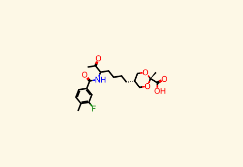 CC(=O)C(CCCC[C@H]1CO[C@@](C)(C(=O)O)OC1)NC(=O)c1ccc(C)c(F)c1